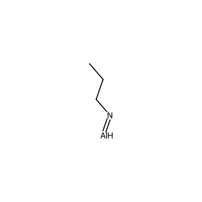 CCC[N]=[AlH]